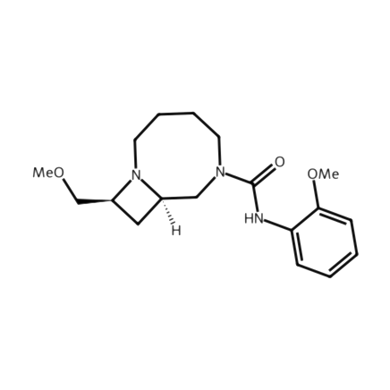 COC[C@@H]1C[C@@H]2CN(C(=O)Nc3ccccc3OC)CCCCN12